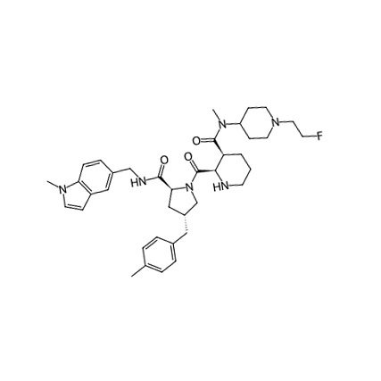 Cc1ccc(C[C@@H]2C[C@@H](C(=O)NCc3ccc4c(ccn4C)c3)N(C(=O)[C@@H]3NCCC[C@@H]3C(=O)N(C)C3CCN(CCF)CC3)C2)cc1